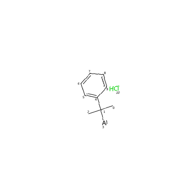 C[C](C)([Al])c1ccccc1.Cl